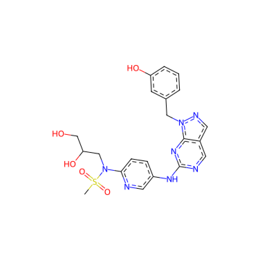 CS(=O)(=O)N(CC(O)CO)c1ccc(Nc2ncc3cnn(Cc4cccc(O)c4)c3n2)cn1